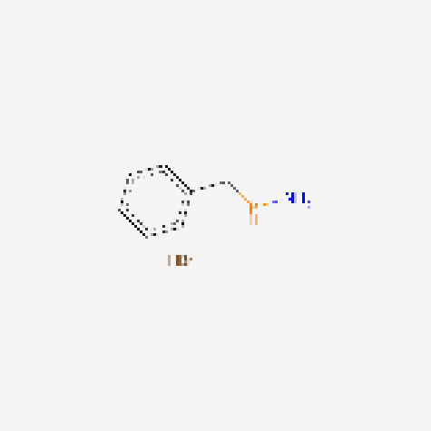 Br.NPCc1ccccc1